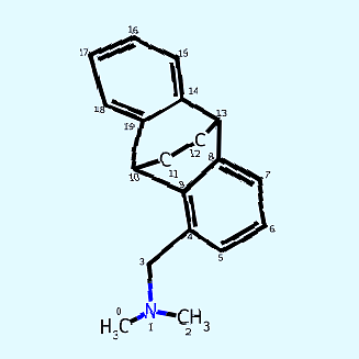 CN(C)Cc1cccc2c1C1CCC2c2ccccc21